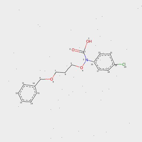 O=C(O)N(OCCCOCc1ccccc1)c1ccc(Cl)cc1